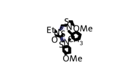 CCn1c(=O)/c(=C2\Sc3cc(OC)ccc3N2C)s/c1=C\c1scc[n+]1Cc1ccccc1OC